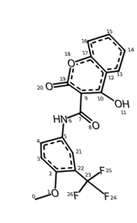 COc1ccc(NC(=O)c2c(O)c3ccccc3oc2=O)cc1C(F)(F)F